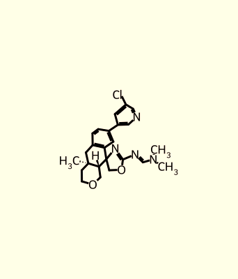 CN(C)C=NC1=NC2(CO1)c1cc(-c3cncc(Cl)c3)ccc1C[C@]1(C)CCOC[C@@H]21